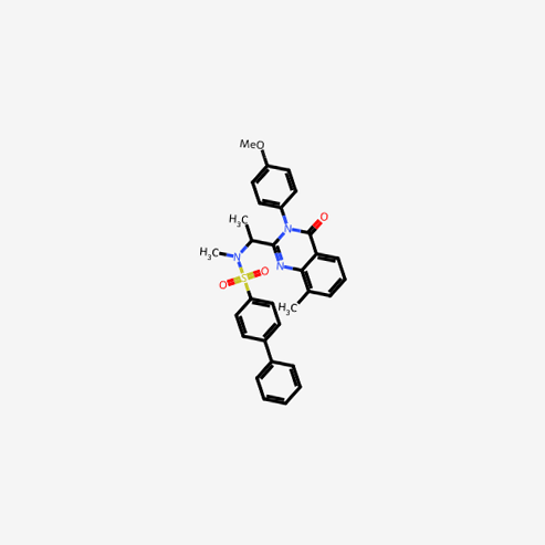 COc1ccc(-n2c(C(C)N(C)S(=O)(=O)c3ccc(-c4ccccc4)cc3)nc3c(C)cccc3c2=O)cc1